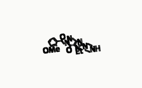 CCn1c(N2CCNCC2)nc2cnn(CC(=O)c3ccccc3OC)c(=O)c21